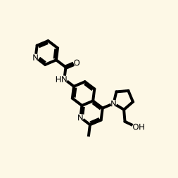 Cc1cc(N2CCCC2CO)c2ccc(NC(=O)c3cccnc3)cc2n1